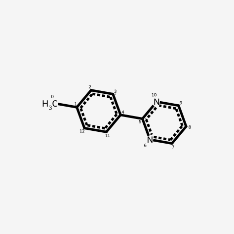 Cc1c[c]c(-c2ncccn2)cc1